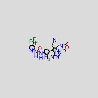 CC1CN(Cc2c(CC#N)c(-c3ccc(NC(=O)Nc4cc(C(F)(F)F)ccn4)cc3)c3c(N)ncnn23)CC(C)O1